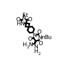 CCCCN1C(=O)C(=C(N)N)C(=O)N(C2CCC3(CC2)CC2(C3)NC(=O)N(CC)C2=O)C1=O